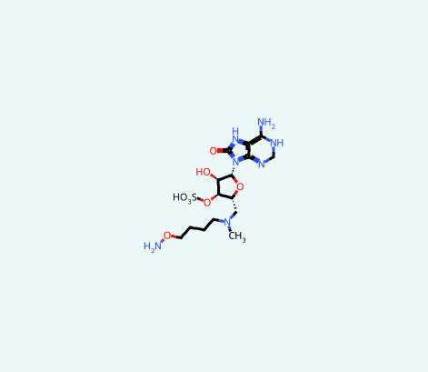 CN(CCCCON)C[C@H]1O[C@@H](n2c(=O)[nH]c3c2=NCNC=3N)[C@H](O)[C@@H]1OS(=O)(=O)O